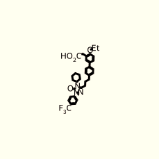 CCOc1ccc(-c2ccc(CCCc3nn(-c4ccc(C(F)(F)F)cc4)c(=O)n3C3CCCCC3)cc2)cc1CC(=O)O